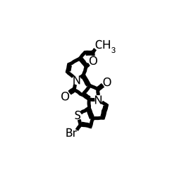 Cc1cc2c(o1)C1=C3C(=O)N4C=Cc5cc(Br)sc5C4=C3C(=O)N1C=C2